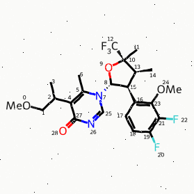 COCC(C)c1c(C)n([C@@H]2O[C@@](C)(C(F)(F)F)[C@@H](C)[C@H]2c2ccc(F)c(F)c2OC)cnc1=O